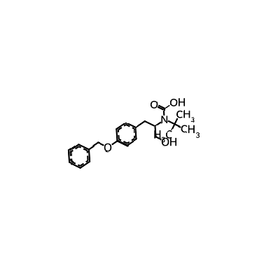 CC(C)(C)N(C(=O)O)C(CO)Cc1ccc(OCc2ccccc2)cc1